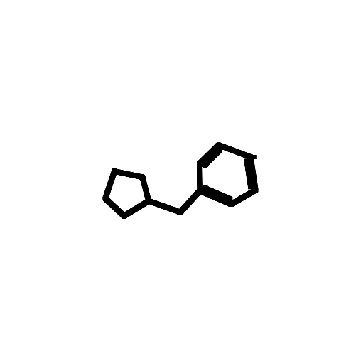 [c]1ccc(CC2CCCC2)cc1